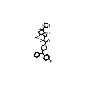 COc1cnc(-c2cnccn2)c2[nH]cc(C(=O)C(=O)N3CCC(=C(c4ccccc4)c4ccc(F)cc4)CC3)c12